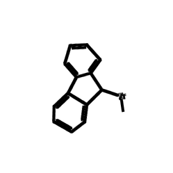 [CH3][Zr][CH]1c2ccccc2-c2ccccc21